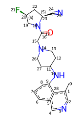 Cc1cncc2cccc(NC3CCN(CC(=O)N4C[C@@H](F)C[C@H]4C#N)CC3)c12